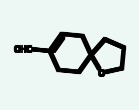 O=CC1=CCC2(CCCO2)CC1